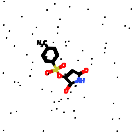 Cc1ccc(S(=O)(=O)OC2=CC(=O)NC2=O)cc1